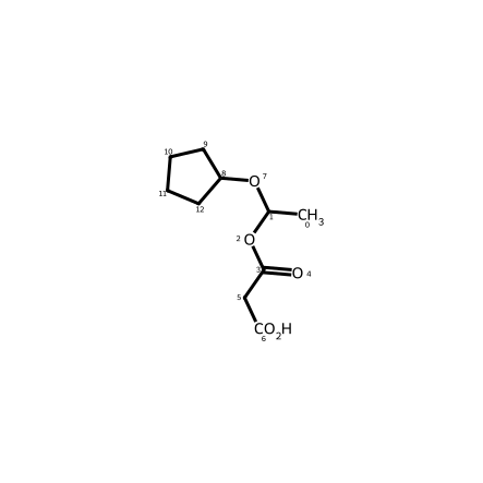 CC(OC(=O)CC(=O)O)OC1CCCC1